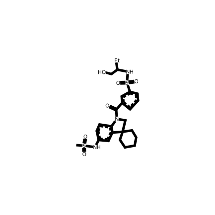 CCC(CO)NS(=O)(=O)c1cccc(C(=O)N2CC3(CCCCC3)c3cc(NS(C)(=O)=O)ccc32)c1